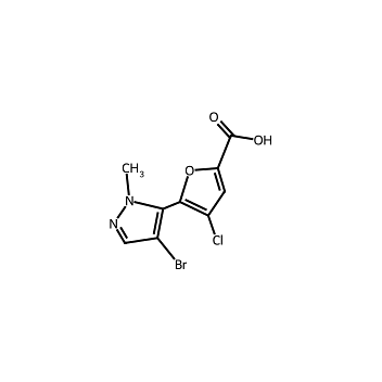 Cn1ncc(Br)c1-c1oc(C(=O)O)cc1Cl